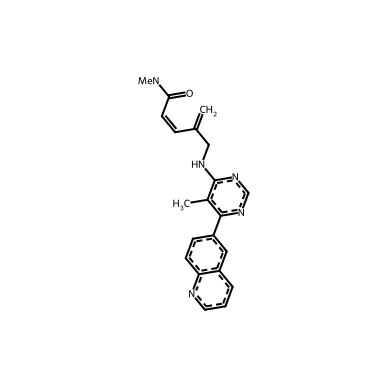 C=C(/C=C\C(=O)NC)CNc1ncnc(-c2ccc3ncccc3c2)c1C